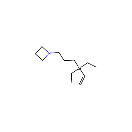 C=C[Si](CC)(CC)CCCN1CCC1